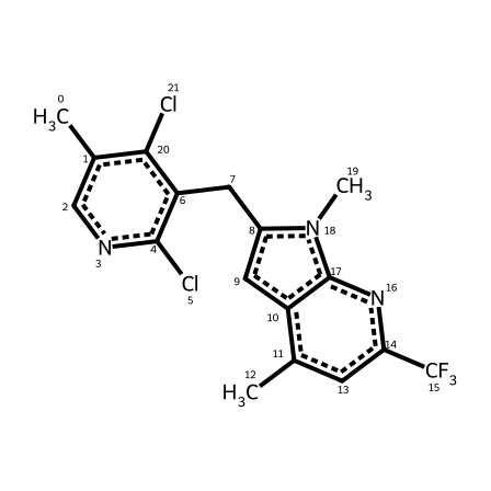 Cc1cnc(Cl)c(Cc2cc3c(C)cc(C(F)(F)F)nc3n2C)c1Cl